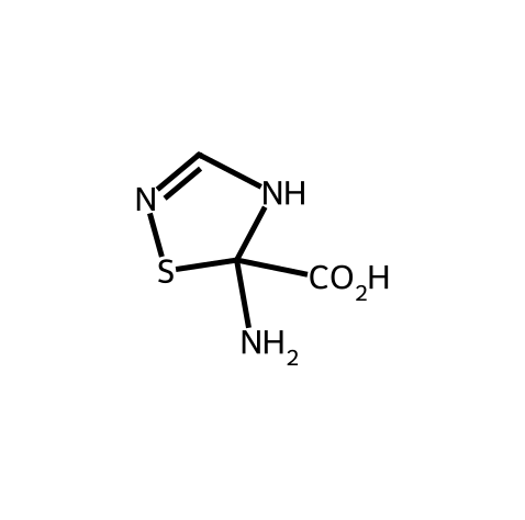 NC1(C(=O)O)NC=NS1